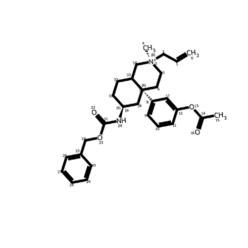 C=CC[N@@+]1(C)CC[C@@]2(c3cccc(OC(C)=O)c3)C[C@@H](NC(=O)OCc3ccccc3)CCC2C1